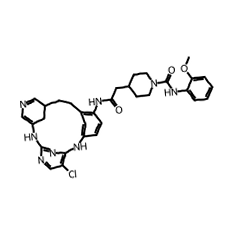 COc1ccccc1NC(=O)N1CCC(CC(=O)Nc2ccc3cc2CCC2C=NC=C(C2)Nc2ncc(Cl)c(n2)N3)CC1